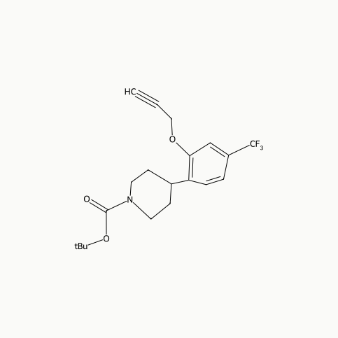 C#CCOc1cc(C(F)(F)F)ccc1C1CCN(C(=O)OC(C)(C)C)CC1